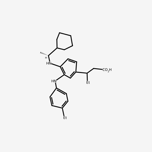 CCc1ccc(Nc2cc(C(CC)CC(=O)O)ccc2N[C@H](C)C2CCCCC2)cc1